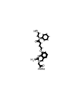 CNC(=O)CN1Cc2cccc(OCCCC(=O)N(CCO)C3CCCCC3)c2N=C1N